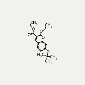 CCOC(=O)C(=Cc1ccc(OC(C)(C)C)cc1)C(=O)OCC